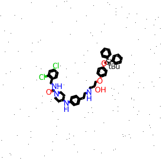 CC(C)(C)[Si](Oc1ccc(OCC(O)CNCCc2ccc(NC3CCN(C(=O)NCc4ccc(Cl)cc4Cl)CC3)cc2)cc1)(c1ccccc1)c1ccccc1